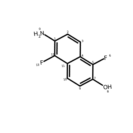 Nc1ccc2c(F)c(O)ccc2c1F